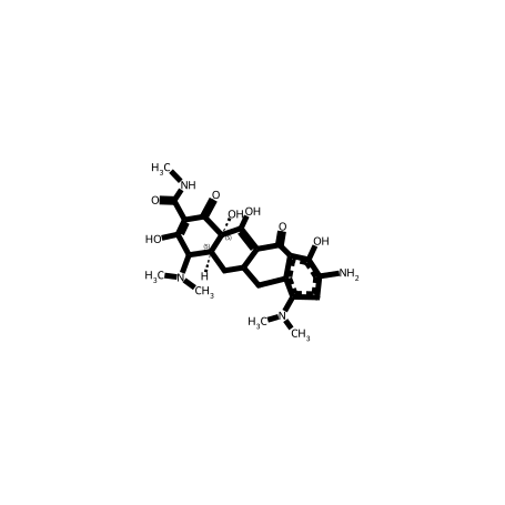 CNC(=O)C1=C(O)C(N(C)C)[C@@H]2CC3Cc4c(N(C)C)cc(N)c(O)c4C(=O)C3=C(O)[C@]2(O)C1=O